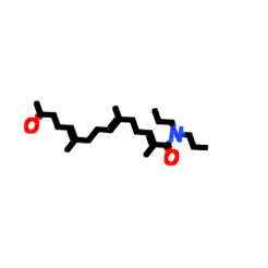 CCCN(CCC)C(=O)C(C)=CCCC(C)=CCCC(C)=CCCC(C)=O